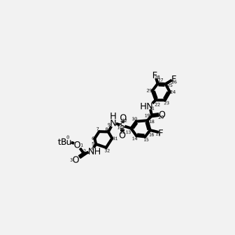 CC(C)(C)OC(=O)NC1CCC(NS(=O)(=O)c2ccc(F)c(C(=O)Nc3ccc(F)c(F)c3)c2)CC1